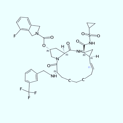 O=C1N[C@]2(C(=O)NS(=O)(=O)C3CC3)C[C@H]2/C=C/CCCCC[C@H](NCc2cccc(C(F)(F)F)c2)C(=O)N2C[C@H](OC(=O)N3Cc4cccc(F)c4C3)C[C@@H]12